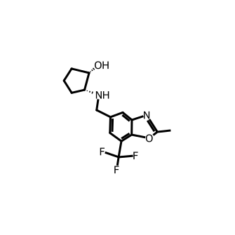 Cc1nc2cc(CN[C@@H]3CCC[C@@H]3O)cc(C(F)(F)F)c2o1